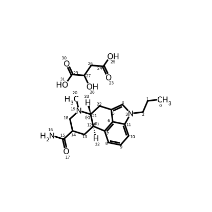 CCCn1cc2c3c(cccc31)[C@H]1CC(C(N)=O)CN(C)[C@@H]1C2.O=C(O)CC(O)C(=O)O